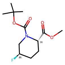 COC(=O)[C@@H]1CC[C@@H](F)CN1C(=O)OC(C)(C)C